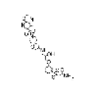 Cc1c(S(=O)(=O)N2CCC3(CC2)CC(NCC(O)COc2cccc(S(=O)(=O)CC(N)=O)c2)CO3)cnc2c1N(C)CCO2